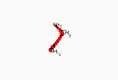 [CH2]CCCCCCCCCCCCCCC(C)CCCCCCCCC[CH2]